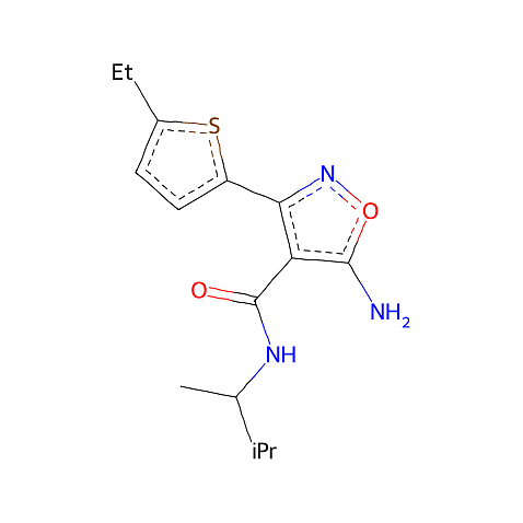 CCc1ccc(-c2noc(N)c2C(=O)NC(C)C(C)C)s1